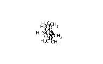 C=CC[C@]1(CCC)[C@H](C)CN(C(=O)OC(C)(C)C)[C@@H]1C(=O)OC